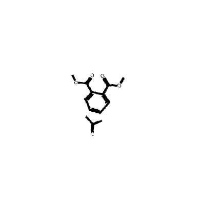 CC(C)=O.COC(=O)c1ccccc1C(=O)OC